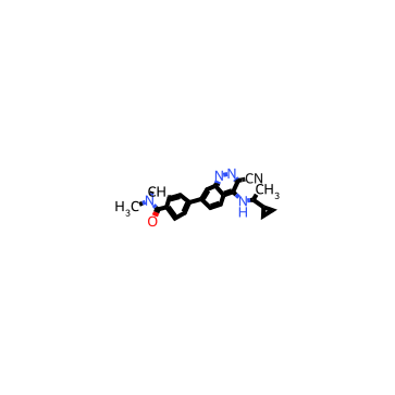 CC(Nc1c(C#N)nnc2cc(-c3ccc(C(=O)N(C)C)cc3)ccc12)C1CC1